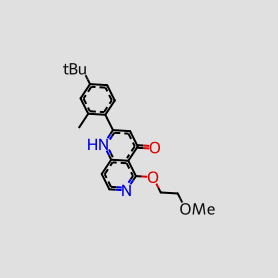 COCCOc1nccc2[nH]c(-c3ccc(C(C)(C)C)cc3C)cc(=O)c12